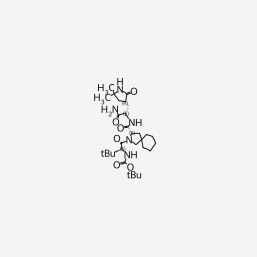 CC1(C)C[C@@H](C[C@H](NC(=O)[C@@H]2CC3(CCCCC3)CN2C(=O)[C@@H](NC(=O)OC(C)(C)C)C(C)(C)C)C(N)=O)C(=O)N1